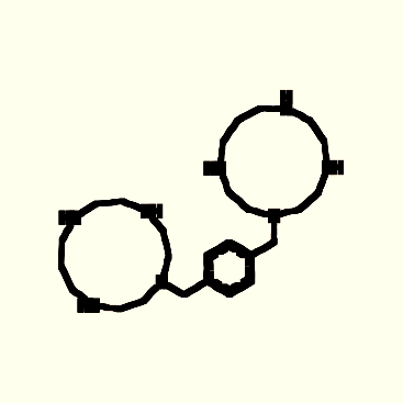 c1cc(CN2CCNCCCNCCNCC2)ccc1CN1CCNCCCNCCNCC1